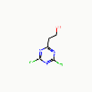 OCCc1nc(Cl)nc(Cl)n1